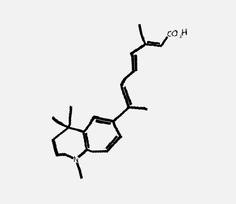 CC(C=CC=C(C)c1ccc2c(c1)C(C)(C)CCN2C)=CC(=O)O